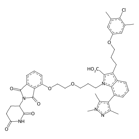 Cc1cc(OCCCc2c(C(=O)O)n(CCCOCCOc3cccc4c3C(=O)N(C3CCC(=O)NC3=O)C4=O)c3c(-c4c(C)nn(C)c4C)cccc23)cc(C)c1Cl